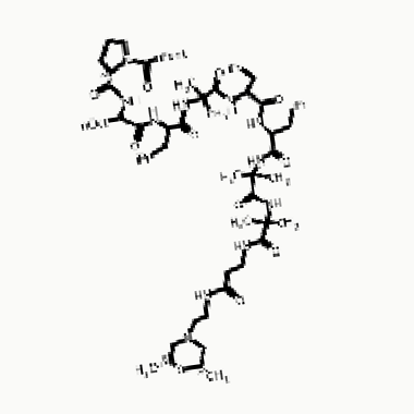 CCCCCCCCC(NC(=O)[C@@H]1CCCN1C(=O)CCCCC)C(=O)NC(CC(C)C)C(=O)NC(C)(C)C(=O)NC(CC(C)C)C(=O)NC(CC(C)C)C(=O)NC(C)(C)C(=O)NC(C)(C)C(=O)NCCC(=O)NCCN1C[C@@H](C)O[C@@H](C)C1